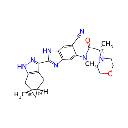 C[C@@H](C(=O)N(C)c1cc2nc(-c3n[nH]c4c3C[C@@H]3C[C@]3(C)C4)[nH]c2cc1C#N)N1CCOCC1